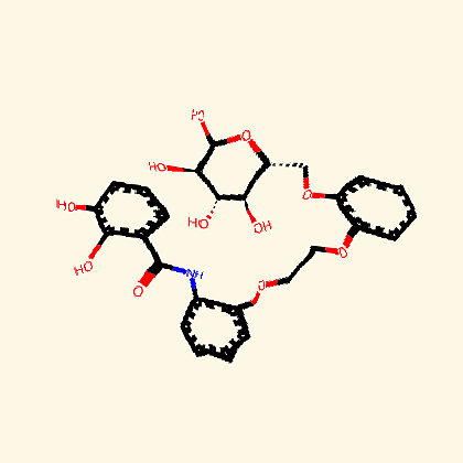 O=C(Nc1ccccc1OCCOc1ccccc1OC[C@H]1OC(O)[C@H](O)[C@@H](O)[C@@H]1O)c1cccc(O)c1O